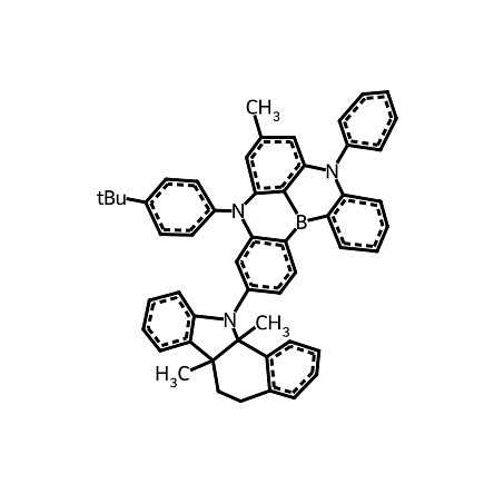 Cc1cc2c3c(c1)N(c1ccc(C(C)(C)C)cc1)c1cc(N4c5ccccc5C5(C)CCc6ccccc6C45C)ccc1B3c1ccccc1N2c1ccccc1